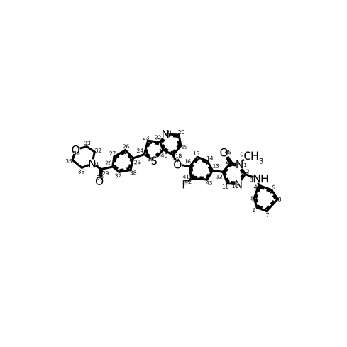 Cn1c(Nc2ccccc2)ncc(-c2ccc(Oc3ccnc4cc(-c5ccc(C(=O)N6CCOCC6)cc5)sc34)c(F)c2)c1=O